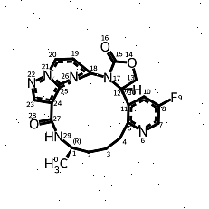 C[C@@H]1CCCc2ncc(F)cc2[C@H]2COC(=O)N2c2ccn3ncc(c3n2)C(=O)N1